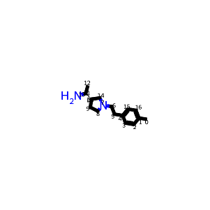 Cc1ccc(CCN2CC[C@H](C(C)N)C2)cc1